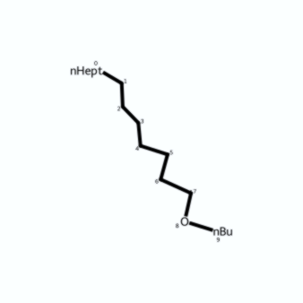 CCCCCCCCCCCCC[CH]OCCCC